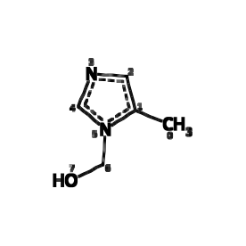 Cc1cncn1CO